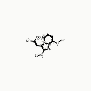 CCOc1nc2c(OC(C)C)cccn2c1C=C(C#N)C(=O)O